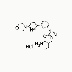 Cl.NC/C(=C\F)Cn1ncn(-c2cccc(-c3ccc(N4CCOCC4)nc3)c2)c1=O